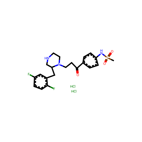 CS(=O)(=O)Nc1ccc(C(=O)CCN2CCNCC2Cc2cc(F)ccc2F)cc1.Cl.Cl